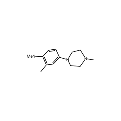 CNc1ccc(N2CCN(C)CC2)cc1C